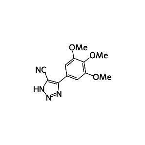 COc1cc(-c2nn[nH]c2C#N)cc(OC)c1OC